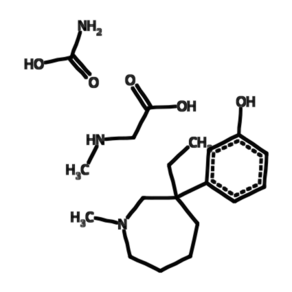 CCC1(c2cccc(O)c2)CCCCN(C)C1.CNCC(=O)O.NC(=O)O